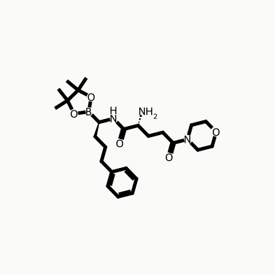 CC1(C)OB([C@H](CCCc2ccccc2)NC(=O)[C@H](N)CCC(=O)N2CCOCC2)OC1(C)C